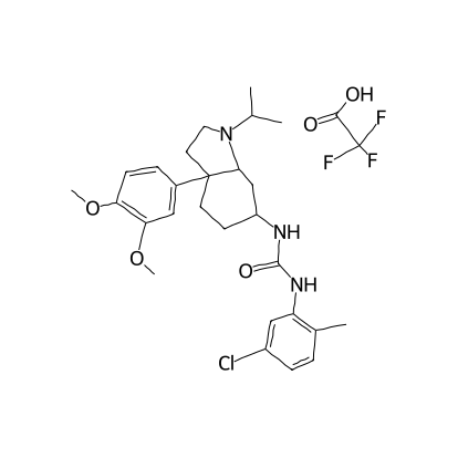 COc1ccc(C23CCC(NC(=O)Nc4cc(Cl)ccc4C)CC2N(C(C)C)CC3)cc1OC.O=C(O)C(F)(F)F